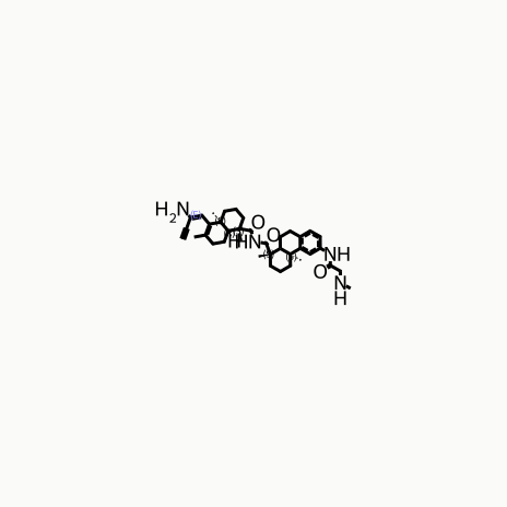 C#C/C(N)=C\C1=C(C)CC[C@H]2[C@@](C)(C(=O)NC(=O)[C@@]3(C)CCC[C@]4(C)c5cc(NC(=O)CNC)ccc5CCC34)CCC[C@]12C